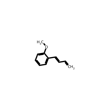 C=CC=Cc1ccccc1OC